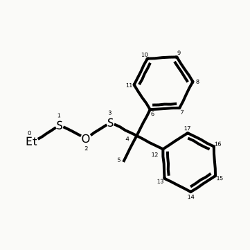 CCSOSC(C)(c1ccccc1)c1ccccc1